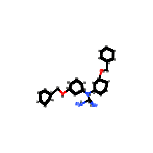 N=C(N)N(c1cccc(OCc2ccccc2)c1)c1cccc(OCc2ccccc2)c1